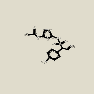 C=CC(c1ccc([N+](=O)[O-])cc1)S(=O)(=O)Nc1nc(OC(=O)CCC)cs1